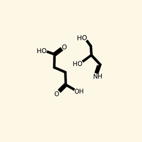 N=CC(O)CO.O=C(O)CCC(=O)O